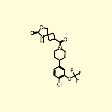 O=C1NC2(CO1)CC(C(=O)N1CCC(c3ccc(Cl)c(OC(F)(F)F)c3)CC1)C2